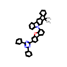 CC1(C)c2ccccc2-c2cc3c4ccccc4n(-c4cccc5c4oc4cc(-c6nc(-c7ccccc7)nc(-c7ccccc7)n6)ccc45)c3cc21